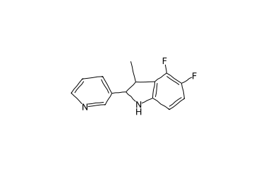 CC1c2c(ccc(F)c2F)NC1c1cccnc1